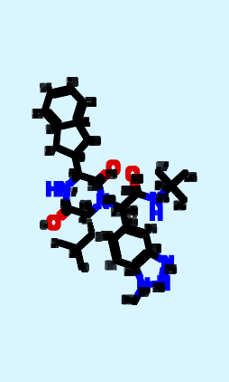 CC(C)C[C@@H]1C(=O)NC(C2Cc3ccccc3C2)C(=O)N1[C@@H](C(=O)NC(C)(C)C)c1ccc2c(c1)nnn2C